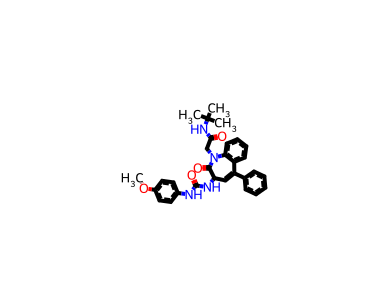 COc1ccc(NC(=O)NC2C=C(c3ccccc3)c3ccccc3N(CC(=O)NC(C)(C)C)C2=O)cc1